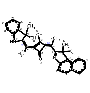 C/C(C1=Nc2ccc3ccccc3c2C1(C)C)=C1/C(=O)C(C(/C)=C2/Nc3ccccc3C2(C)C)=C1O